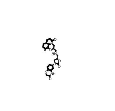 O=C1CSc2ccc(N3C[C@@H](CNCC4Cn5c(=O)ccc6ccc(F)c(c65)O4)OC3=O)cc2N1